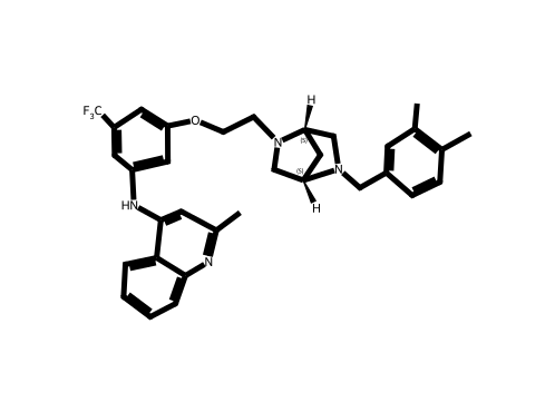 Cc1cc(Nc2cc(OCCN3C[C@@H]4C[C@H]3CN4Cc3ccc(C)c(C)c3)cc(C(F)(F)F)c2)c2ccccc2n1